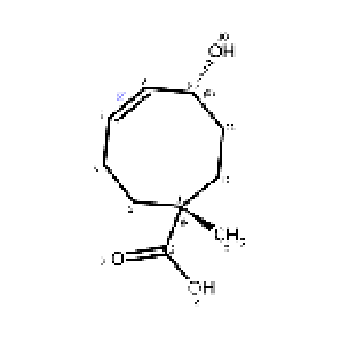 C[C@@]1(C(=O)O)CC/C=C\[C@H](O)CC1